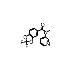 CN(C(=O)c1ccc2c(c1)OC(F)(F)O2)c1cccnc1